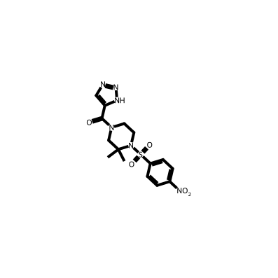 CC1(C)CN(C(=O)c2cnn[nH]2)CCN1S(=O)(=O)c1ccc([N+](=O)[O-])cc1